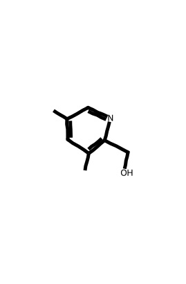 Cc1cnc(CO)c(C)c1